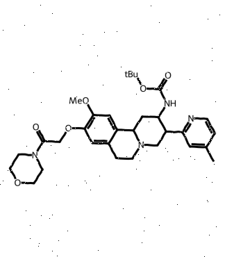 COc1cc2c(cc1OCC(=O)N1CCOCC1)CCN1CC(c3cc(C)ccn3)C(NC(=O)OC(C)(C)C)CC21